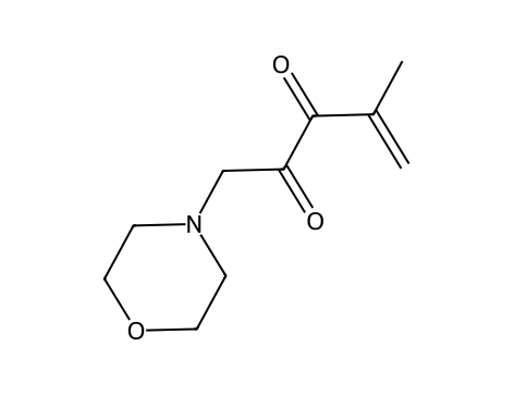 C=C(C)C(=O)C(=O)CN1CCOCC1